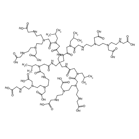 CC(C)CN(CC(=O)NCC(CNC(=O)CN(CC(C)C)C(=O)CNCCN(CCN(CCNCC(=O)O)CC(=O)O)CC(=O)O)(CNC(=O)CN(CC(C)C)C(=O)CN(CCNCC(=O)O)CCN(CCNCC(=O)O)CC(=O)O)CNC(=O)CN(CC(C)C)C(=O)CN(CCNCC(=O)O)CCN(CCNCC(=O)O)CC(=O)O)C(=O)CNCCN(CCN(CCNCC(=O)O)CC(=O)O)CC(=O)O